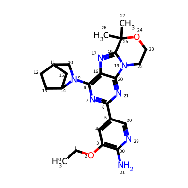 CCOc1cc(-c2nc(N3CC4CCC3C4)c3nc4n(c3n2)CCOC4(C)C)cnc1N